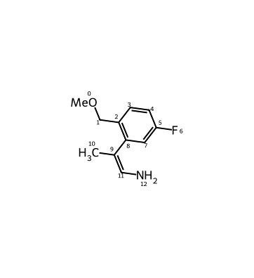 COCc1ccc(F)cc1/C(C)=C\N